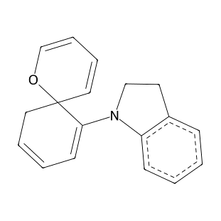 C1=CCC2(C=CC=CO2)C(N2CCc3ccccc32)=C1